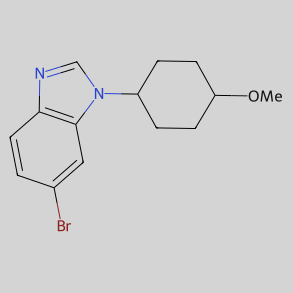 COC1CCC(n2cnc3ccc(Br)cc32)CC1